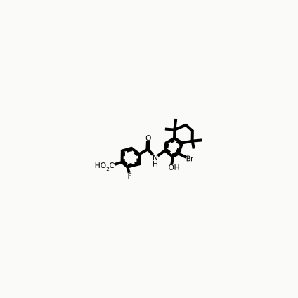 CC1(C)CCC(C)(C)c2c1cc(NC(=O)c1ccc(C(=O)O)c(F)c1)c(O)c2Br